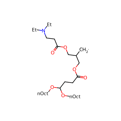 [CH2]C(COC(=O)CCC(OCCCCCCCC)OCCCCCCCC)COC(=O)CCN(CC)CC